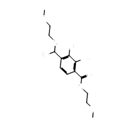 COCCNC(=O)c1ccc(C(O)NCCOC)c(O)c1O